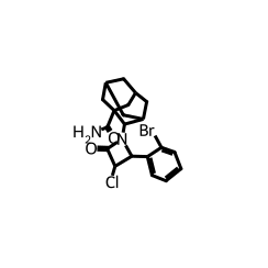 NC(=O)C12CC3CC(CC(C3)C1N1C(=O)C(Cl)C1c1ccccc1Br)C2